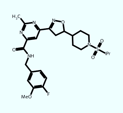 COc1cc(CNC(=O)c2cc(C3=NOC(C4CCN(S(=O)(=O)C(C)C)CC4)C3)nc(C)n2)ccc1F